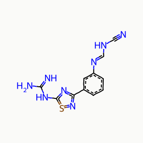 N#CN/C=N/c1cccc(-c2nsc(NC(=N)N)n2)c1